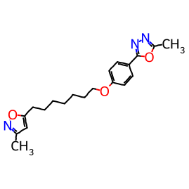 Cc1cc(CCCCCCCOc2ccc(-c3nnc(C)o3)cc2)on1